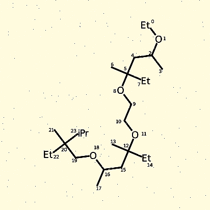 CCOC(C)CC(C)(CC)OCCOC(C)(CC)CC(C)OCC(C)(CC)C(C)C